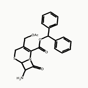 CC(=O)OCC1=C(C(=O)OC(c2ccccc2)c2ccccc2)N2C(=O)C(N)C2SC1